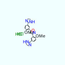 COc1ccc(C2=NCCN2)cc1-c1cc(-c2cc(C3=NCCN3)ccc2OC)on1.Cl.Cl